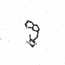 Cc1[nH]cnc1Cc1ccc2cccnc2c1